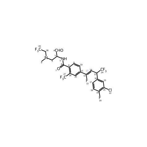 CN(CC(C=O)NC(=O)c1ccc(/C(F)=C/C(c2ccc(F)c(Cl)c2)C(F)(F)F)cc1C(F)(F)F)CC(F)(F)F